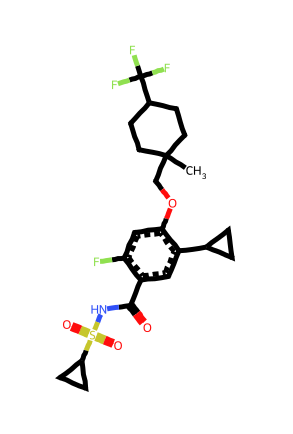 CC1(COc2cc(F)c(C(=O)NS(=O)(=O)C3CC3)cc2C2CC2)CCC(C(F)(F)F)CC1